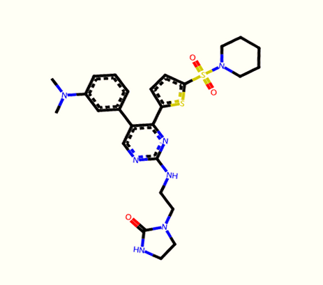 CN(C)c1cccc(-c2cnc(NCCN3CCNC3=O)nc2-c2ccc(S(=O)(=O)N3CCCCC3)s2)c1